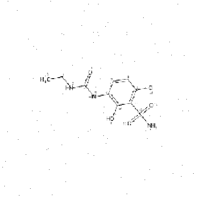 CCNC(=O)Nc1ccc(Cl)c(S(N)(=O)=O)c1O